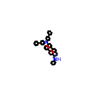 C1=C(C(/C=C\c2ccc(-c3ccc(N(c4ccc(-c5ccccc5)cc4)c4ccc(-c5ccccc5)cc4)cc3)cc2)=C/Nc2ccccc2)CCC(c2ccccc2)=C1